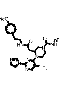 CCCNC(=O)N1CCN(c2nc(-n3ccnc3)ncc2C)C(CC(=O)NCCc2ccc(OC)cc2)C1